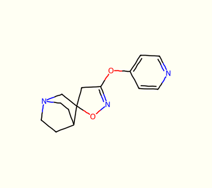 c1cc(OC2=NOC3(C2)CN2CCC3CC2)ccn1